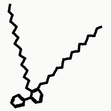 CCCCCCCCCCCCCCCCc1cccc(-c2ccccc2)c1CCCCCCCCCCCCCCCC